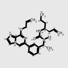 C=CCOc1nc(-c2cccc([C@@H](C)N(CC)C(=O)N[C@H](CC=C)CCC(F)(F)F)c2)cn2ccnc12